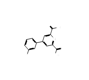 O=C(O)c1cc(-c2cccc(Cl)c2)cc(C(=O)O)n1